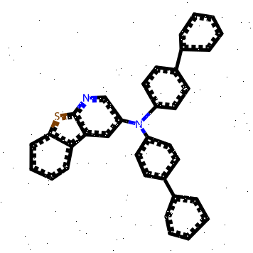 c1ccc(-c2ccc(N(c3ccc(-c4ccccc4)cc3)c3cnc4sc5ccccc5c4c3)cc2)cc1